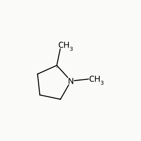 C[C]1CCCN1C